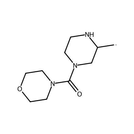 [CH2]C1CN(C(=O)N2CCOCC2)CCN1